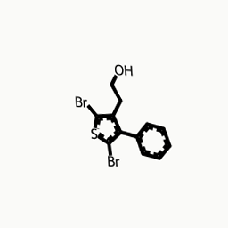 OCCc1c(Br)sc(Br)c1-c1ccccc1